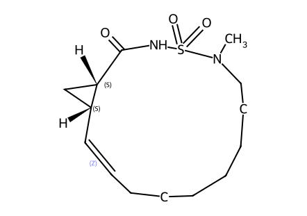 CN1CCCCCCC/C=C\[C@@H]2C[C@@H]2C(=O)NS1(=O)=O